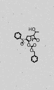 CC(O)C1C(=O)N2C(OC(=O)OCc3ccccc3)=C([S+]([O-])c3ccccc3)CC12